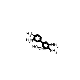 Nc1ccc(-c2ccc(N)c(N)c2)cc1N.OO